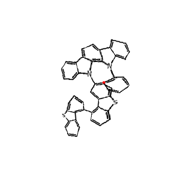 c1ccc(-n2c3ccccc3c3ccc4c5ccccc5n(-c5ccc6sc7cccc(-c8cccc9sc%10ccccc%10c89)c7c6c5)c4c32)cc1